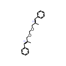 C/C(=C\c1ccccc1)COCOC/C(C)=C/c1ccccc1